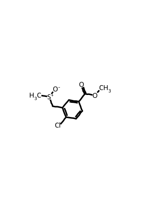 COC(=O)c1ccc(Cl)c(C[S+](C)[O-])c1